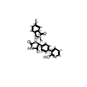 O=C1NC(=O)[C@](CN2Cc3ccc(F)cc3C2=O)(c2ccc(-c3cccnc3O)cc2)N1